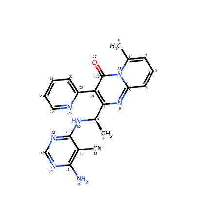 Cc1cccc2nc([C@@H](C)Nc3ncnc(N)c3C#N)c(-c3ccccn3)c(=O)n12